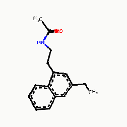 CCc1cc(CCNC(C)=O)c2ccccc2c1